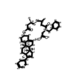 CC(CC(=O)N(CC(=O)O)Cc1ccccc1)SS[C@H](C)CC(=O)O[C@H]1CC[C@@]2(C)C(=CC[C@@H]3[C@@H]2CC[C@]2(C)C(c4cccnc4)=CC[C@@H]32)C1